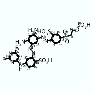 Nc1cc(N)c(/N=N/c2ccc(S(=O)(=O)CCOS(=O)(=O)O)cc2S(=O)(=O)O)cc1/N=N/c1cc(Nc2cc(F)nc(F)n2)ccc1S(=O)(=O)O